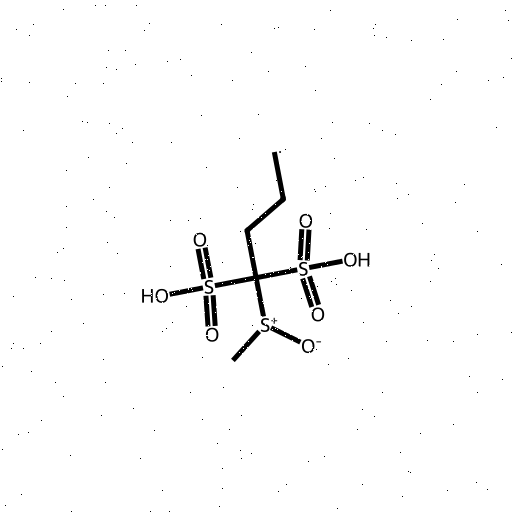 [CH2]CCC([S+](C)[O-])(S(=O)(=O)O)S(=O)(=O)O